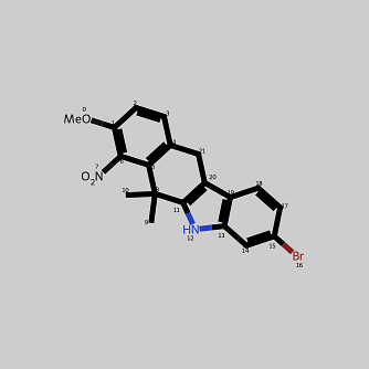 COc1ccc2c(c1[N+](=O)[O-])C(C)(C)c1[nH]c3cc(Br)ccc3c1C2